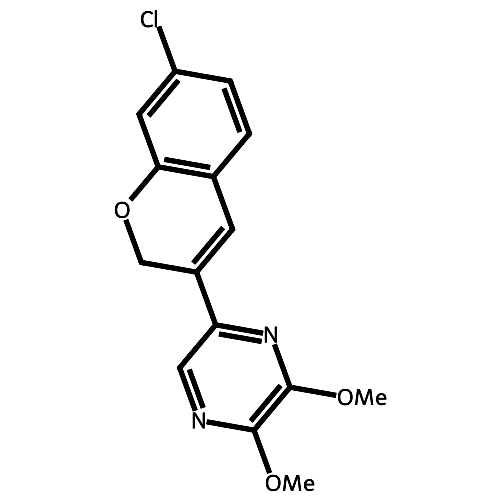 COc1ncc(C2=Cc3ccc(Cl)cc3OC2)nc1OC